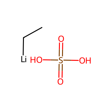 O=S(=O)(O)O.[Li][CH2]C